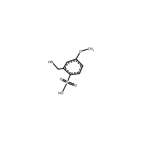 COc1ccc(S(=O)(=O)O)c(C[NH])c1